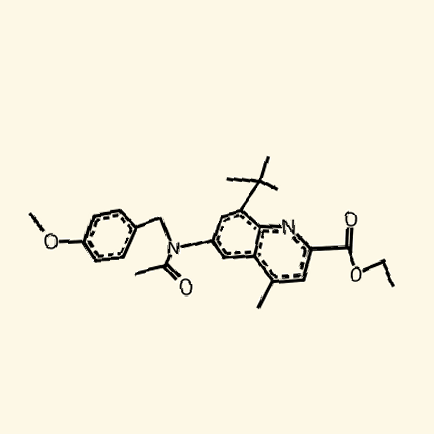 CCOC(=O)c1cc(C)c2cc(N(Cc3ccc(OC)cc3)C(C)=O)cc(C(C)(C)C)c2n1